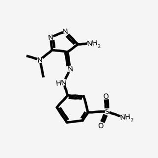 CN(C)C1=NN=C(N)/C1=N/Nc1cccc(S(N)(=O)=O)c1